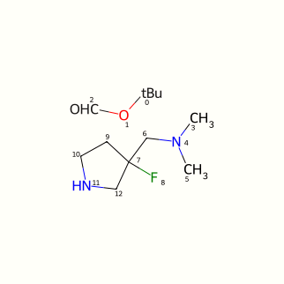 CC(C)(C)OC=O.CN(C)CC1(F)CCNC1